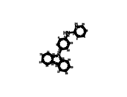 c1ccc(Nc2ccc(-n3c4ccccc4c4ccccc43)cc2)nc1